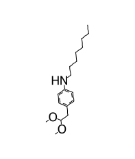 CCCCCCCCNc1ccc(CC(OC)OC)cc1